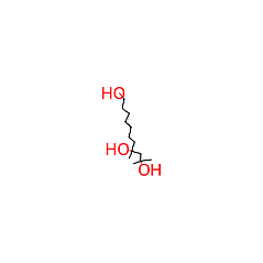 CC(C)(O)CC(C)(O)CCCCCCCO